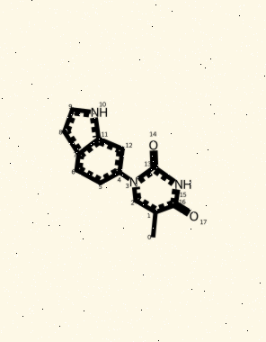 Cc1cn(-c2ccc3cc[nH]c3c2)c(=O)[nH]c1=O